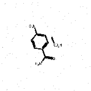 CC(=O)O.NC(=O)c1ccc([N+](=O)[O-])cc1